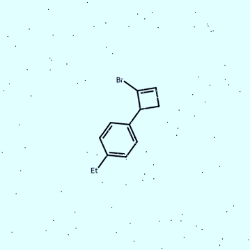 CCc1ccc(C2CC=C2Br)cc1